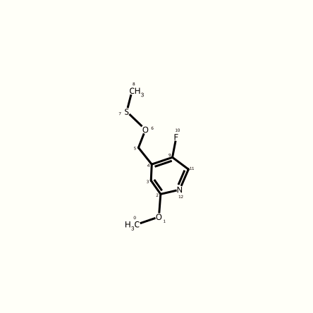 COc1cc(COSC)c(F)cn1